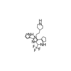 FC(F)(F)C1NC2=C(CCC2)c2c1nc(-c1ccc[nH]1)n2CCC1CCNCC1